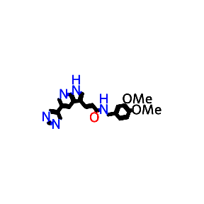 COc1ccc(CNC(=O)/C=C/c2c[nH]c3ncc(-c4cncnc4)cc23)cc1OC